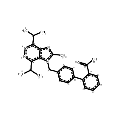 Cc1nc2c(C(C)C)nnc(C(C)C)c2n1Cc1ccc(-c2ccccc2C(=O)O)cc1